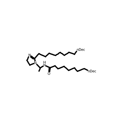 CCCCCCCCCCCCCCCCCCC1=NCCN1C(C)NC(=O)CCCCCCCCCCCCCCCCC